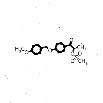 COc1ccc(COc2ccc(C(=O)[C@@H](C)OS(C)(=O)=O)cc2)cc1